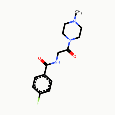 CN1CCN(C(=O)CNC(=O)c2ccc(F)cc2)CC1